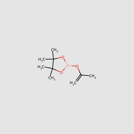 C=C(C)OB1OC(C)(C)C(C)(C)O1